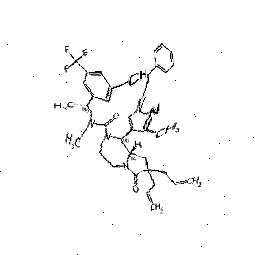 C=CCC1(CC=C)C[C@H]2[C@H](c3cn(Cc4ccccc4)nc3C)N(C(=O)N(C)[C@H](C)c3cc(C)cc(C(F)(F)F)c3)CCN2C1=O